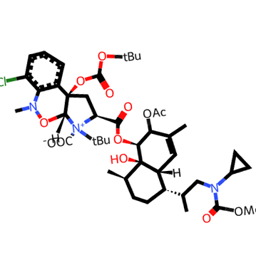 COC(=O)N(CC(C)[C@@H]1CC[C@@H](C)[C@@]2(O)[C@@H]1C=C(C)C(OC(C)=O)[C@@H]2OC(=O)[C@@H]1C[C@@]2(OC(=O)OC(C)(C)C)c3cccc(Cl)c3N(C)O[C@H]2[N+]1(C(=O)[O-])C(C)(C)C)C1CC1